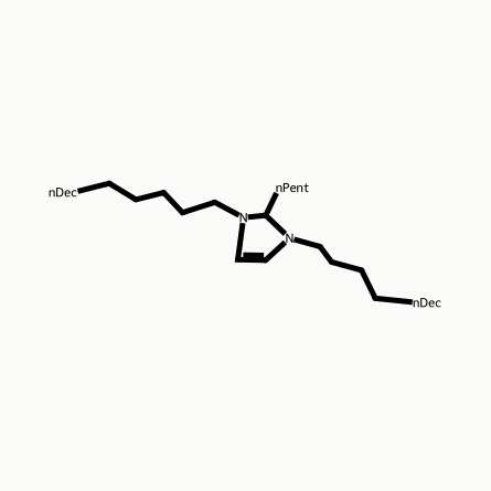 CCCCCCCCCCCCCCCN1C=CN(CCCCCCCCCCCCCC)C1CCCCC